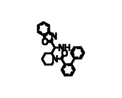 NC(c1nc2ccccc2o1)C1CCCCN1C(=O)c1ccccc1-c1ccccc1